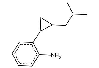 CC(C)CC1CC1c1ccccc1N